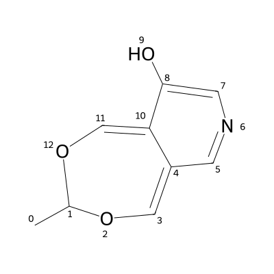 CC1OC=c2cncc(O)c2=CO1